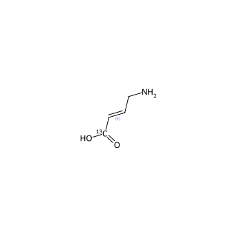 NC/C=C/[13C](=O)O